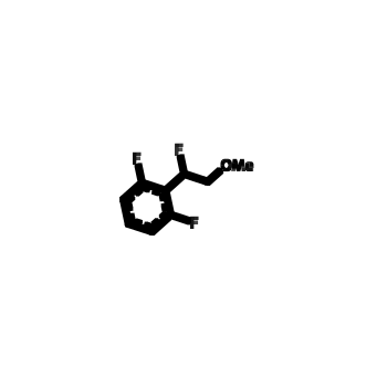 COCC(F)c1c(F)cccc1F